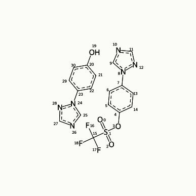 O=S(=O)(Oc1ccc(-n2cncn2)cc1)C(F)(F)F.Oc1ccc(-n2cncn2)cc1